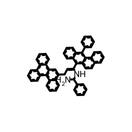 NC(N/C(=C\Cc1cc2c3ccccc3c3ccccc3c2c2ccccc12)c1c2ccccc2c(-c2ccccc2)c2c1ccc1ccccc12)c1ccccc1